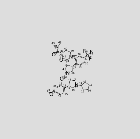 COC[C@H]1CN(C(=O)[C@@H]2CN(C3CCCC3)C[C@H]2c2ccc(OC)cc2)C[C@@H]1c1ccc(C(F)(F)F)cc1N1CCC(C(=O)N(C)C)CC1